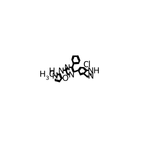 Cn1ccc(Oc2nc(-c3cc(Cl)c4[nH]ncc4c3)c(-c3ccccc3)nc2N)c1